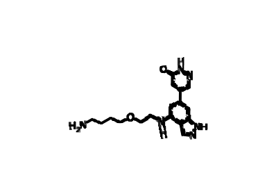 NCCCCOCCNc1cc(-c2cn[nH]c(=O)c2)cc2[nH]ncc12